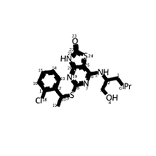 CC(C)CC(CO)Nc1nc(SC(C)c2ccccc2Cl)nc2[nH]c(=O)sc12